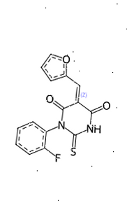 O=C1NC(=S)N(c2ccccc2F)C(=O)/C1=C\c1ccco1